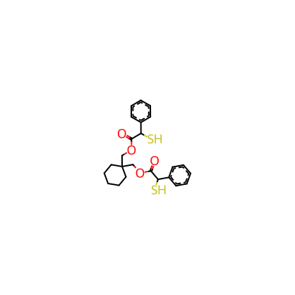 O=C(OCC1(COC(=O)C(S)c2ccccc2)CCCCC1)C(S)c1ccccc1